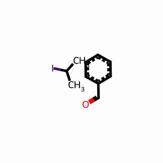 CC(C)I.O=Cc1ccccc1